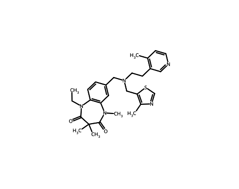 CCN1C(=O)C(C)(C)C(=O)N(C)c2cc(CN(CCc3cnccc3C)Cc3scnc3C)ccc21